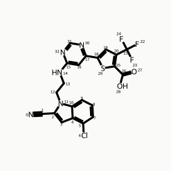 N#Cc1cc2c(Cl)cccc2n1CCNc1cc(-c2cc(C(F)(F)F)c(C(=O)O)s2)ncn1